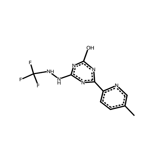 Cc1ccc(-c2nc(O)nc(NNC(F)(F)F)n2)nc1